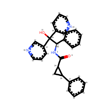 O=C(N[C@H](c1ccccc1)C(O)(c1cccnc1)c1cccnc1)C1CC1c1ccccc1